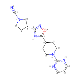 N#CN1CC[C@@H](c2noc(C3CCN(c4ncccn4)CC3)n2)C1